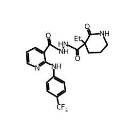 CCC1(C(=O)NNC(=O)c2cccnc2Nc2ccc(C(F)(F)F)cc2)CCCNC1=O